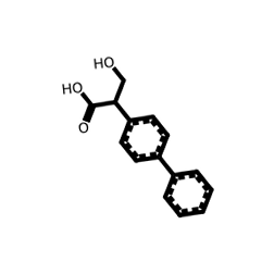 O=C(O)C(CO)c1ccc(-c2ccccc2)cc1